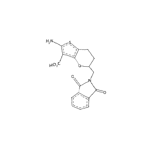 Nc1sc2c(c1C(=O)O)OC(CN1C(=O)c3ccccc3C1=O)CC2